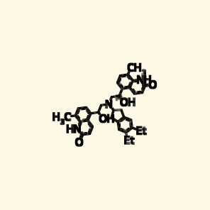 CCc1cc2c(cc1CC)CC(N(CC(O)c1ccc(C)c3[nH]c(=O)ccc13)C[C@H](O)c1ccc(C)c3[nH]c(=O)ccc13)C2